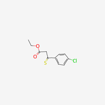 CCOC(=O)CC(=S)c1ccc(Cl)cc1